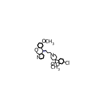 COC(=O)C1(c2ccc(Cl)cc2)CCN(CC/C=C2/c3cc(OC)ccc3OCc3ncccc32)CC1